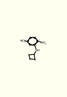 N#Cc1ccc([N+](=O)[O-])c(NC2CCC2)c1